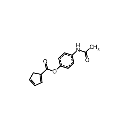 CC(=O)Nc1ccc(OC(=O)C2=CC=CC2)cc1